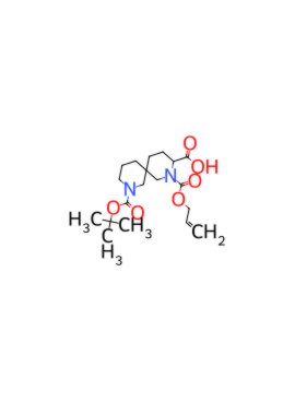 C=CCOC(=O)N1CC2(CCCN(C(=O)OC(C)(C)C)C2)CCC1C(=O)O